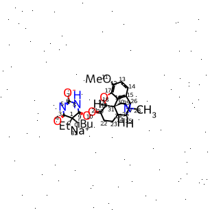 CCC(C)C1(CC)C(=O)N=C([O-])NC1=O.COc1ccc2c3c1O[C@H]1C(=O)CC[C@H]4[C@@H](C2)N(C)CC[C@]314.[Na+]